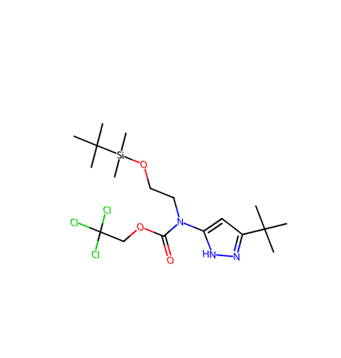 CC(C)(C)c1cc(N(CCO[Si](C)(C)C(C)(C)C)C(=O)OCC(Cl)(Cl)Cl)[nH]n1